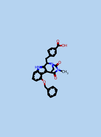 CN1C(=O)C2CN(C1=O)C(Cc1ccc(C(=O)O)cc1)c1[nH]c3cccc(OCc4ccccc4)c3c12